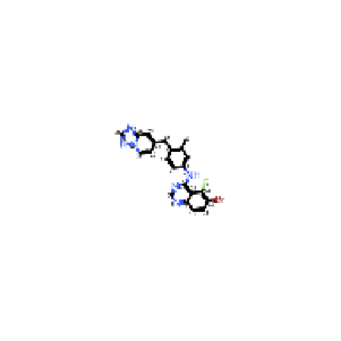 Cc1cc(Nc2ncnc3ccc(Br)c(F)c23)ccc1Cc1ccn2ncnc2c1